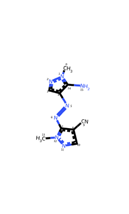 Cn1ncc(N=Nc2c(C#N)cnn2C)c1N